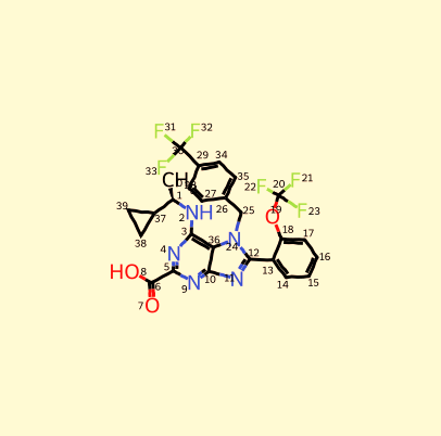 C[C@@H](Nc1nc(C(=O)O)nc2nc(-c3ccccc3OC(F)(F)F)n(Cc3ccc(C(F)(F)F)cc3)c12)C1CC1